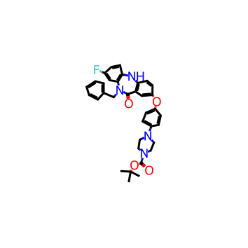 CC(C)(C)OC(=O)N1CCN(c2ccc(Oc3ccc4c(c3)C(=O)N(Cc3ccccc3)c3cc(F)ccc3N4)cc2)CC1